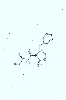 C=C[C@@H](F)[C@@H](C)C(=O)N1C(=O)OC[C@H]1Cc1ccccc1